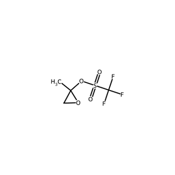 CC1(OS(=O)(=O)C(F)(F)F)CO1